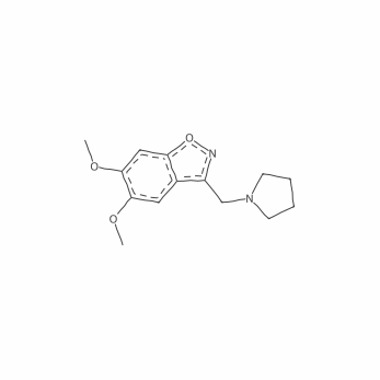 COc1cc2onc(CN3CCCC3)c2cc1OC